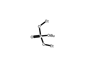 CCOP(=O)(OCC)OCC(C)C